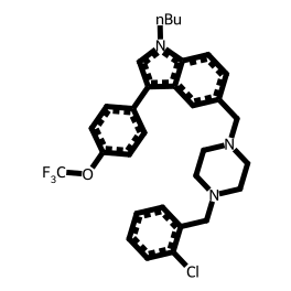 CCCCn1cc(-c2ccc(OC(F)(F)F)cc2)c2cc(CN3CCN(Cc4ccccc4Cl)CC3)ccc21